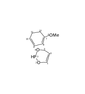 C1=COPOC1.COC1=CC=CCC1